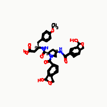 COc1ccc(C[C@@H](CC(=O)O)NC(=O)[C@@H]2C[C@@H](NC(=O)c3ccc4c(c3)B(O)OC4)CN2C(=O)c2ccc3c(c2)B(O)OC3)cc1